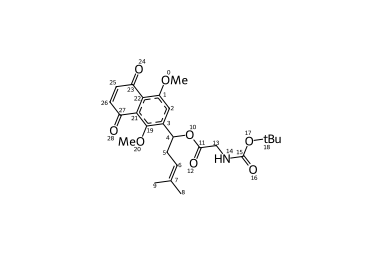 COc1cc(C(CC=C(C)C)OC(=O)CNC(=O)OC(C)(C)C)c(OC)c2c1C(=O)C=CC2=O